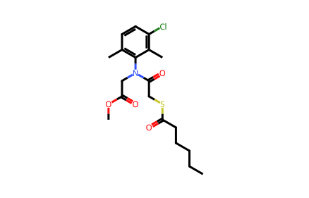 CCCCCC(=O)SCC(=O)N(CC(=O)OC)c1c(C)ccc(Cl)c1C